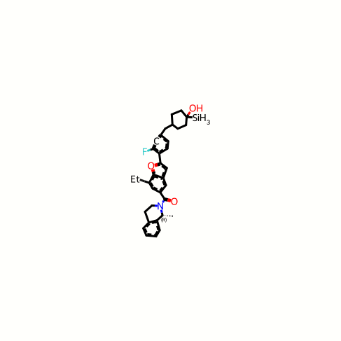 CCc1cc(C(=O)N2CCc3ccccc3[C@H]2C)cc2cc(-c3ccc(CC4CCC(O)([SiH3])CC4)cc3F)oc12